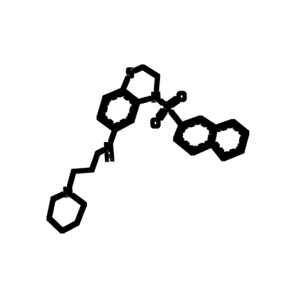 O=S(=O)(c1ccc2ccccc2c1)N1CCSc2ccc(NCCCN3CCCCC3)cc21